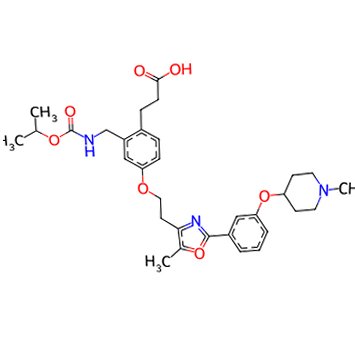 Cc1oc(-c2cccc(OC3CCN(C)CC3)c2)nc1CCOc1ccc(CCC(=O)O)c(CNC(=O)OC(C)C)c1